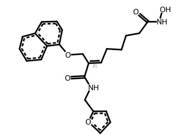 O=C(CCCC/C=C(\COc1cccc2ccccc12)C(=O)NCc1ccco1)NO